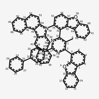 Cc1c(-c2cccc3c2oc2ccccc23)nc(-c2ccc(-c3ccccc3)cc2)nc1-c1c(-n2c3cc4ccccc4cc3c3c4ccccc4ccc32)ccc2oc3ccccc3c12